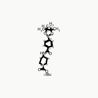 CC(C)(C)OC(=O)N1CCC(NC(=O)c2ccc(B3OC(C)(C)C(C)(C)O3)cc2)CC1